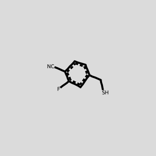 N#Cc1ccc(CS)cc1F